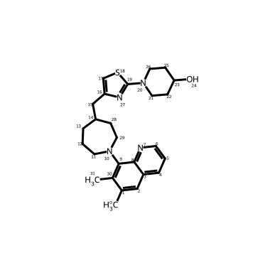 Cc1cc2cccnc2c(N2CCCC(Cc3csc(N4CCC(O)CC4)n3)CC2)c1C